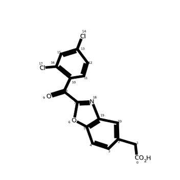 O=C(O)Cc1ccc2oc(C(=O)c3ccc(Cl)cc3Cl)nc2c1